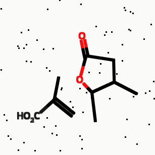 C=C(C)C(=O)O.CC1CC(=O)OC1C